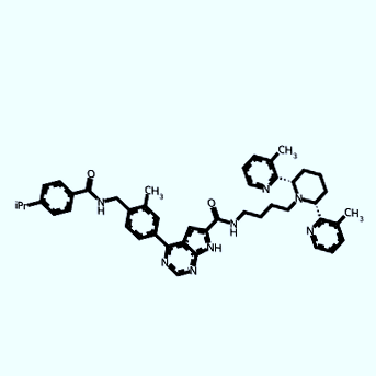 Cc1cc(-c2ncnc3[nH]c(C(=O)NCCCCN4[C@@H](c5ncccc5C)CCC[C@H]4c4ncccc4C)cc23)ccc1CNC(=O)c1ccc(C(C)C)cc1